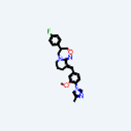 COc1cc(/C=C2\CCCN3CC(c4ccc(F)cc4)CON=C23)ccc1-n1cnc(C)c1